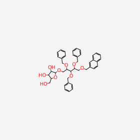 OCC1OC(OCC(OCc2ccccc2)C(OCc2ccccc2)C(COCc2ccc3ccccc3c2)OCc2ccccc2)C(O)C1O